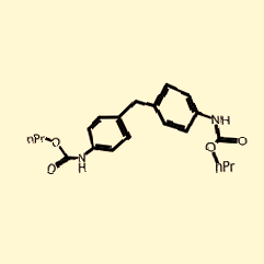 CCCOC(=O)Nc1ccc(Cc2ccc(NC(=O)OCCC)cc2)cc1